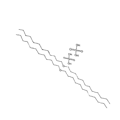 CCCCCCCCCCCCOCCCCCCCCCCCC.CCCCCCCCCCCCOCCCCCCCCCCCC.O=S(=O)(O)O.O=S(=O)(O)O